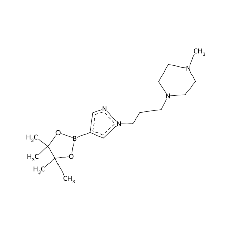 CN1CCN(CCCn2cc(B3OC(C)(C)C(C)(C)O3)cn2)CC1